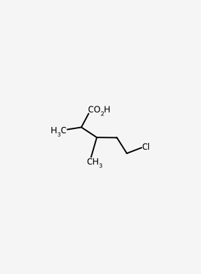 CC(CCCl)C(C)C(=O)O